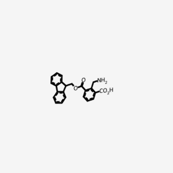 NCc1c(C(=O)O)cccc1C(=O)OCC1c2ccccc2-c2ccccc21